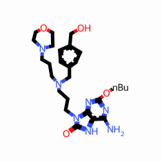 CCCCOc1nc(N)c2[nH]c(=O)n(CCCN(CCCN3CCOCC3)Cc3ccc(CO)cc3)c2n1